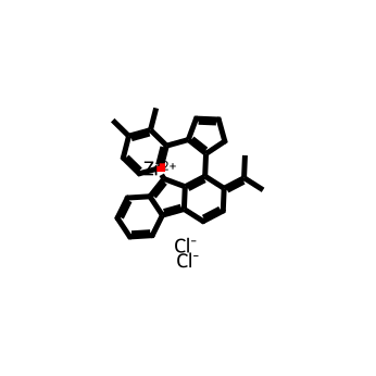 CC(C)=c1ccc2c(c1C1=C(c3cccc(C)c3C)C=CC1)[C]([Zr+2])=c1ccccc1=2.[Cl-].[Cl-]